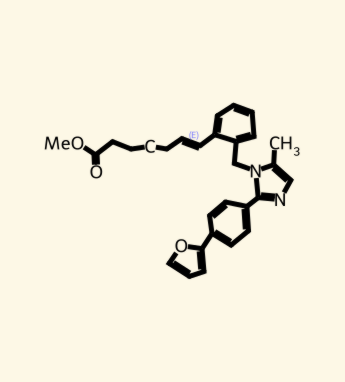 COC(=O)CCCC/C=C/c1ccccc1Cn1c(C)cnc1-c1ccc(-c2ccco2)cc1